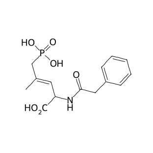 C/C(=C\C(NC(=O)Cc1ccccc1)C(=O)O)CP(=O)(O)O